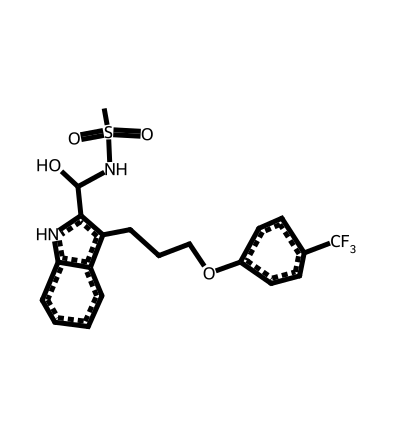 CS(=O)(=O)NC(O)c1[nH]c2ccccc2c1CCCOc1ccc(C(F)(F)F)cc1